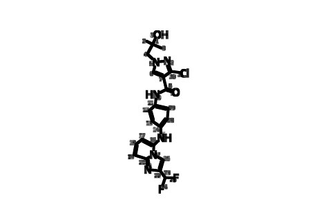 CC(C)(O)Cn1cc(C(=O)Nc2ccc(Nc3cccc4nc(C(F)F)cn34)cc2)c(Cl)n1